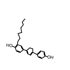 CCCCCCCCc1cc(C2=CC=C(c3ccc(O)cc3)CC2)ccc1O